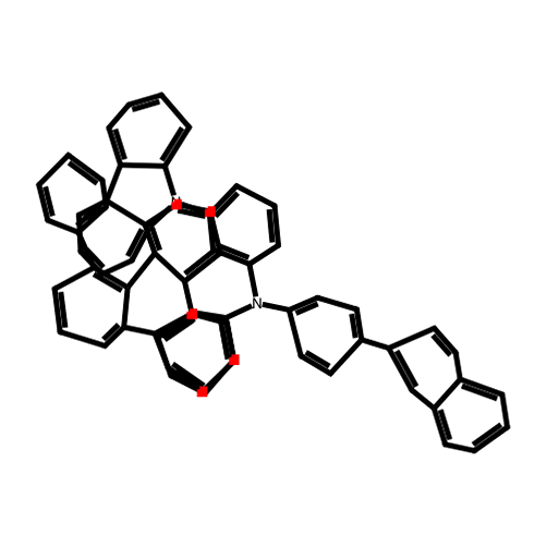 c1ccc(-c2ccccc2-c2c(-c3ccccc3)cccc2-c2cccc(N(c3ccc(-c4ccc5ccccc5c4)cc3)c3cccc(-n4c5ccccc5c5ccccc54)c3)c2)cc1